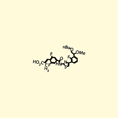 CCCCOCC(OC)c1cccc(-c2csc(NC(=O)c3cc(F)c(C=C(C)C(=O)O)c(F)c3)n2)c1F